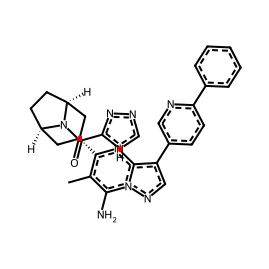 Cc1c([C@@H]2C[C@H]3CC[C@@H](C2)N3C(=O)c2nnc[nH]2)nc2c(-c3ccc(-c4ccccc4)nc3)cnn2c1N